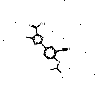 Cc1nc(-c2ccc(OC(C)C)c(C#N)c2)[se]c1C(=O)O